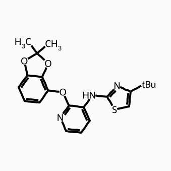 CC1(C)Oc2cccc(Oc3ncccc3Nc3nc(C(C)(C)C)cs3)c2O1